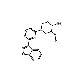 CC(C)C[C@H]1CN(c2cccc(-c3n[nH]c4ncccc34)n2)CCC1N